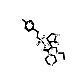 CCOC[C@@H](C(=O)N1CCOCC1)[C@@]1(NS(=O)(=O)CCc2ccc(Cl)cc2)CCNC1=O